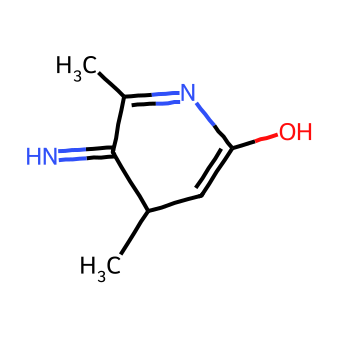 CC1=NC(O)=CC(C)C1=N